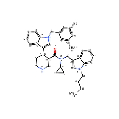 CCc1cc(Cn2cc([C@H]3CCNC[C@@H]3C(=O)N(Cc3cn(CCCOC)c4ccccc34)C3CC3)c3ccccc32)cc(OC)c1